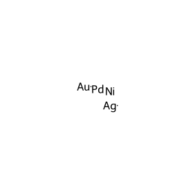 [Ag].[Au].[Ni].[Pd]